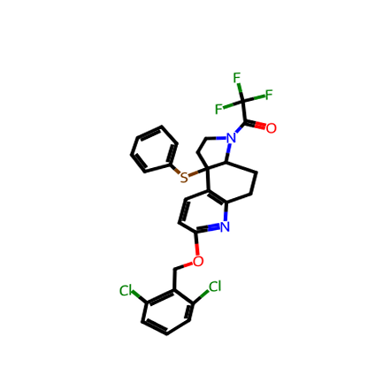 O=C(N1CCC2(Sc3ccccc3)c3ccc(OCc4c(Cl)cccc4Cl)nc3CCC12)C(F)(F)F